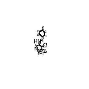 Cc1ccc(CNc2cnn(C(C)C)c(=O)c2Cl)cc1